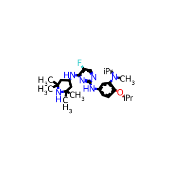 CC(C)Oc1ccc(Nc2ncc(F)c(NC3CC(C)(C)NC(C)(C)C3)n2)cc1N(C)C(C)C